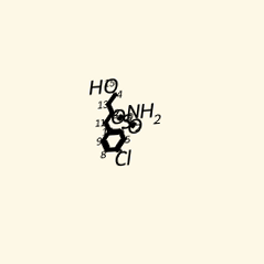 NS(=O)(=O)c1cc(Cl)ccc1CCCCO